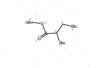 CCCCOC(=O)C(CC(C)(C)C)C(C)(C)C